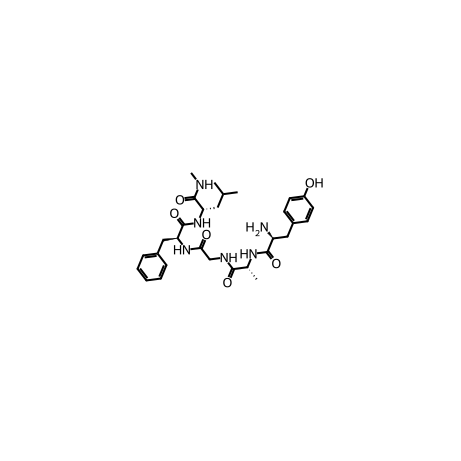 CNC(=O)[C@H](CC(C)C)NC(=O)[C@H](Cc1ccccc1)NC(=O)CNC(=O)[C@@H](C)NC(=O)[C@@H](N)Cc1ccc(O)cc1